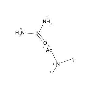 CC(=O)N(C)C.NC(N)=O